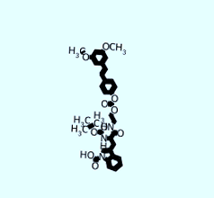 COc1cc(C=Cc2ccc(OC(=O)OCCNC(=O)C(Cc3cn(C(=O)O)c4ccccc34)NC(=O)OC(C)(C)C)cc2)cc(OC)c1